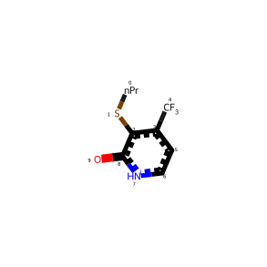 CCCSc1c(C(F)(F)F)cc[nH]c1=O